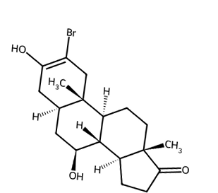 C[C@]12CC(Br)=C(O)C[C@@H]1C[C@H](O)[C@@H]1[C@@H]2CC[C@]2(C)C(=O)CC[C@@H]12